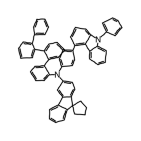 c1ccc(-c2ccccc2-c2ccccc2-c2ccccc2N(c2ccc(-c3cccc4c3c3ccccc3n4-c3ccccc3)cc2)c2ccc3c(c2)-c2ccccc2C32CCCC2)cc1